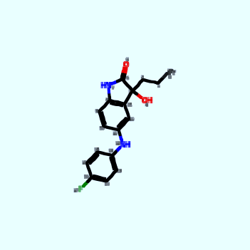 CC(C)CCC1(O)C(=O)Nc2ccc(Nc3ccc(F)cc3)cc21